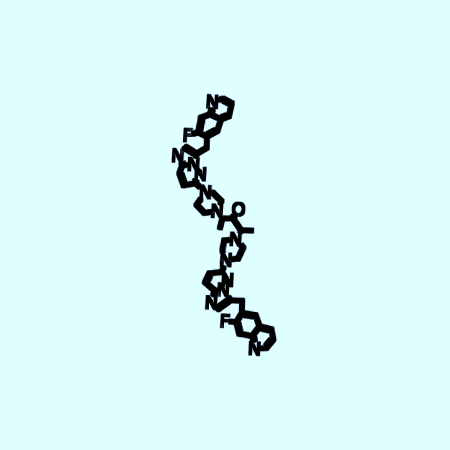 CC(C(=O)C(C)N1CCN(c2ccc3ncc(Cc4cc5cccnc5cc4F)n3n2)CC1)N1CCN(c2ccc3ncc(Cc4cc5cccnc5cc4F)n3n2)CC1